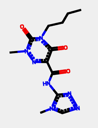 CCCCn1c(=O)c(C(=O)Nc2nncn2C)nn(C)c1=O